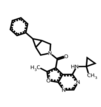 Cc1oc2ncnc(NC3(C)CC3)c2c1C(=O)N1CC2C(C1)C2c1ccccc1